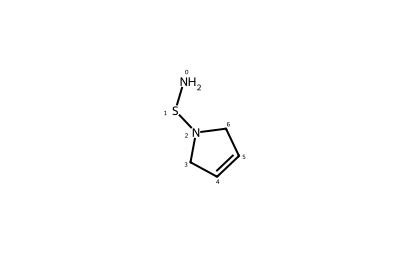 NSN1CC=CC1